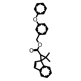 CC1(C)C(C(=O)OCc2cccc(Oc3ccccc3)c2)C12C=Cc1ccccc12